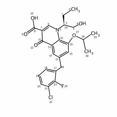 CC[C@@H](CO)n1cc(C(=O)O)c(=O)c2cc(Cc3cccc(Cl)c3F)cc(OC(C)C)c21